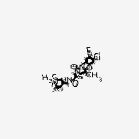 Cc1cc(CNC(=O)c2cn3c(=O)n(Cc4ccc(Cl)c(F)c4)c(=O)c(C)c3s2)ccn1